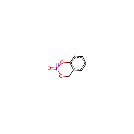 O=[PH]1OCc2ccccc2O1